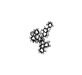 c1ccc(-c2ccc3cc(C4=NC(c5cccc6oc7ccccc7c56)NC(c5cc6ccccc6c6ccccc56)=N4)ccc3c2)cc1